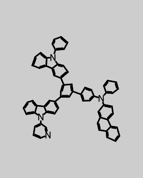 c1ccc(N(c2ccc(-c3cc(-c4ccc5c(c4)c4ccccc4n5-c4ccccc4)cc(-c4ccc5c(c4)c4ccccc4n5-c4cccnc4)c3)cc2)c2ccc3c(ccc4ccccc43)c2)cc1